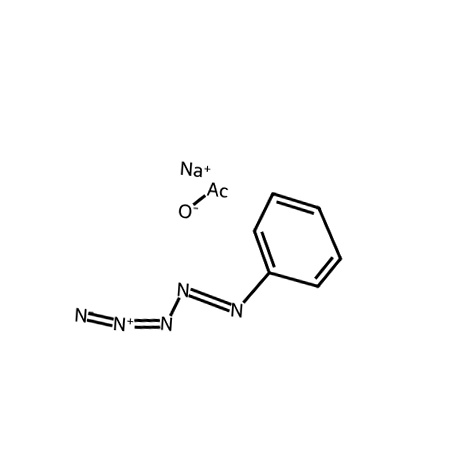 CC(=O)[O-].[N-]=[N+]=N/N=N/c1ccccc1.[Na+]